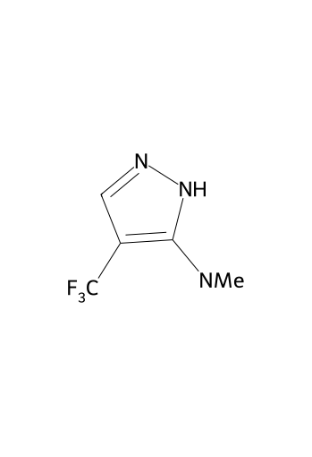 CNc1[nH]ncc1C(F)(F)F